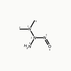 CN(C)N(N)N=O